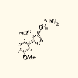 COc1cccc(-c2cc(OCCN)no2)c1.Cl